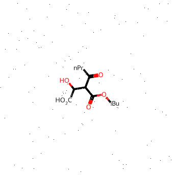 CCCC(=O)C(C(=O)OC(C)CC)C(O)C(=O)O